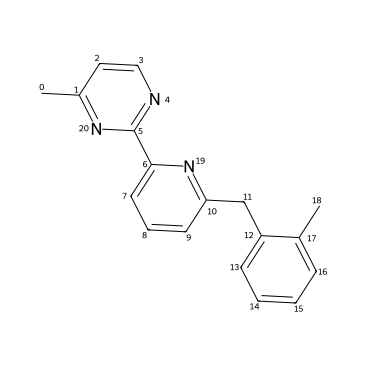 Cc1ccnc(-c2cccc(Cc3ccccc3C)n2)n1